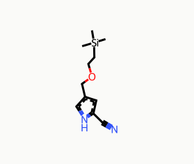 C[Si](C)(C)CCOCc1c[nH]c(C#N)c1